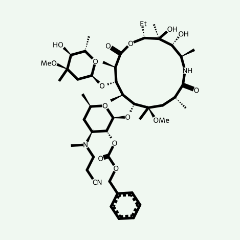 CC[C@H]1OC(=O)[C@H](C)[C@@H](O[C@H]2C[C@@](C)(OC)[C@@H](O)[C@H](C)O2)[C@H](C)[C@@H](O[C@@H]2O[C@H](C)C[C@H](N(C)CCC#N)[C@H]2OC(=O)OCc2ccccc2)[C@](C)(OC)C[C@@H](C)C(=O)N[C@H](C)[C@@H](O)[C@]1(C)O